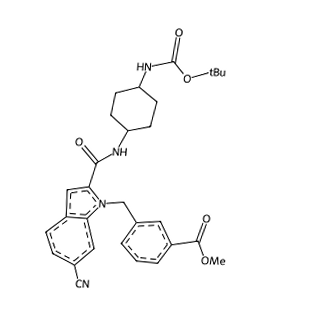 COC(=O)c1cccc(Cn2c(C(=O)NC3CCC(NC(=O)OC(C)(C)C)CC3)cc3ccc(C#N)cc32)c1